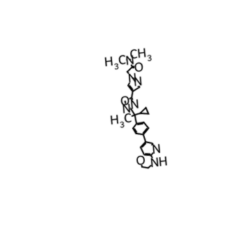 CN(C)C(=O)Cn1cc(-c2nc(C(C)(c3ccc(-c4cnc5c(c4)OCCN5)cc3)C3CC3)no2)cn1